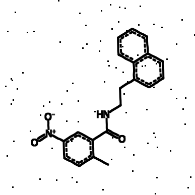 Cc1ccc([N+](=O)[O-])cc1C(=O)NCCc1cccc2ccccc12